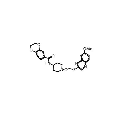 COc1ccc2ncc(SCCN3CCC(NC(=O)c4ccc5c(c4)OCCO5)CC3)nc2c1